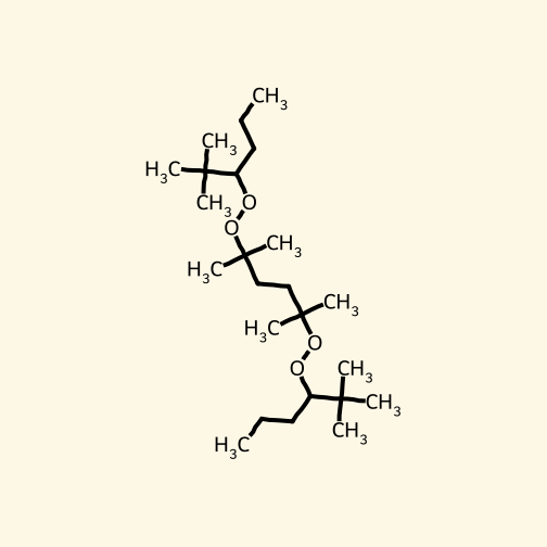 CCCC(OOC(C)(C)CCC(C)(C)OOC(CCC)C(C)(C)C)C(C)(C)C